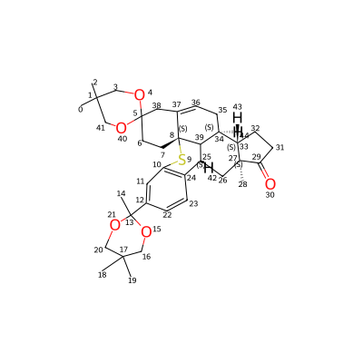 CC1(C)COC2(CC[C@@]34Sc5cc(C6(C)OCC(C)(C)CO6)ccc5[C@H]5C[C@]6(C)C(=O)CC[C@H]6[C@H](CC=C3C2)C54)OC1